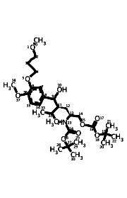 COCCCOc1cc(C(O)[C@@H](C[C@@H](COC(=O)OC(C)(C)C)NC(=O)OC(C)(C)C)C(C)C)ccc1OC